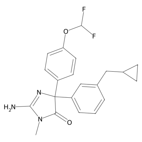 CN1C(=O)C(c2ccc(OC(F)F)cc2)(c2cccc(CC3CC3)c2)N=C1N